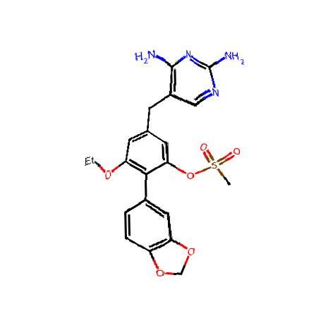 CCOc1cc(Cc2cnc(N)nc2N)cc(OS(C)(=O)=O)c1-c1ccc2c(c1)OCO2